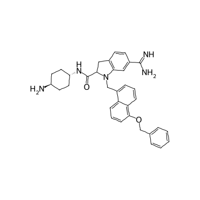 N=C(N)c1ccc2c(c1)N(Cc1cccc3c(OCc4ccccc4)cccc13)C(C(=O)N[C@H]1CC[C@H](N)CC1)C2